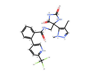 Cc1cnn(C)c1C1(CNC(=O)c2ccccc2-c2ccc(C(F)(F)F)nc2)NC(=O)NC1=O